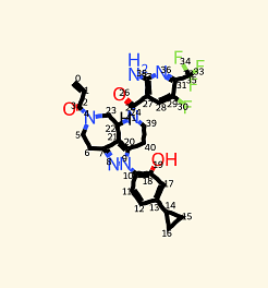 C=CC(=O)N1CCc2nn(-c3ccc(C4CC4)cc3O)c3c2[C@H](C1)N(C(=O)c1cc(F)c(C(F)(F)F)nc1N)CC3